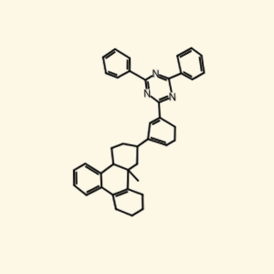 CC12CC(C3=CCCC(c4nc(-c5ccccc5)nc(-c5ccccc5)n4)=C3)CCC1c1ccccc1C1=C2CCCC1